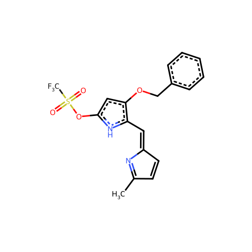 CC1=N/C(=C\c2[nH]c(OS(=O)(=O)C(F)(F)F)cc2OCc2ccccc2)C=C1